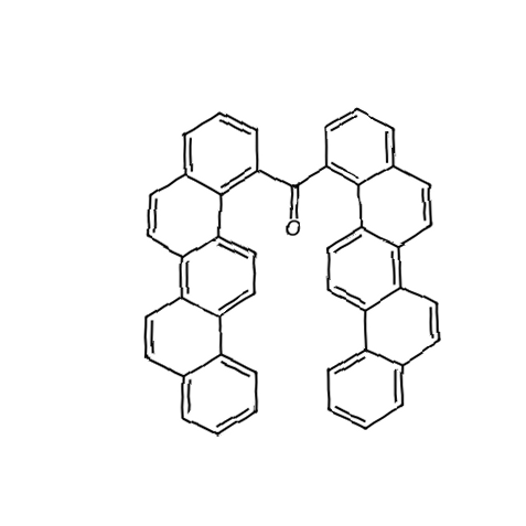 O=C(c1cccc2ccc3c4ccc5ccccc5c4ccc3c12)c1cccc2ccc3c4ccc5ccccc5c4ccc3c12